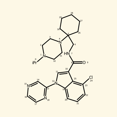 CC(C)N1CCN(C2(CNC(=O)c3cn(-c4cnccn4)c4cccc(Cl)c34)CCCCC2)CC1